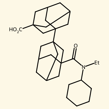 CCN(C(=O)C12CC3CC(C1)CC(C14CC5CC(CC(C(=O)O)(C5)C1)C4)(C3)C2)C1CCCCC1